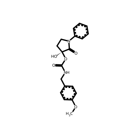 COc1ccc(CNC(=O)O[C@@]2(O)CCN(c3ccccc3)C2=O)cc1